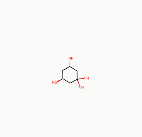 O[C@H]1C[C@H](O)CC(O)(O)C1